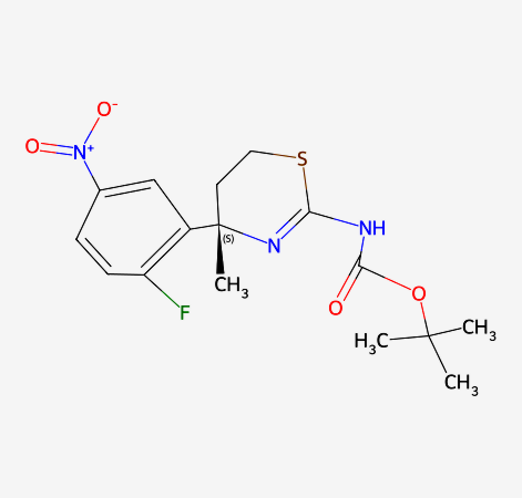 CC(C)(C)OC(=O)NC1=N[C@](C)(c2cc([N+](=O)[O-])ccc2F)CCS1